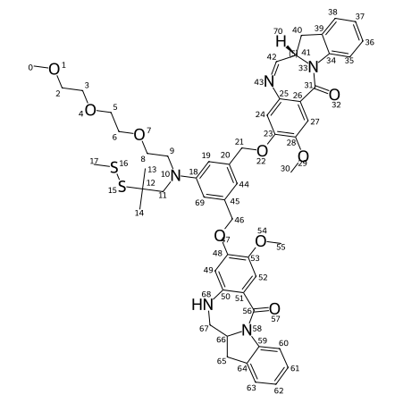 COCCOCCOCCN(CC(C)(C)SSC)c1cc(COc2cc3c(cc2OC)C(=O)N2c4ccccc4C[C@H]2C=N3)cc(COc2cc3c(cc2OC)C(=O)N2c4ccccc4CC2CN3)c1